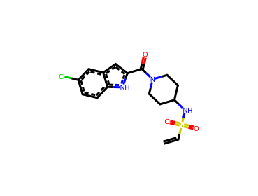 C=CS(=O)(=O)NC1CCN(C(=O)c2cc3cc(Cl)ccc3[nH]2)CC1